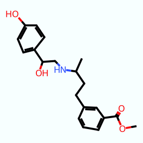 COC(=O)c1cccc(CCC(C)NCC(O)c2ccc(O)cc2)c1